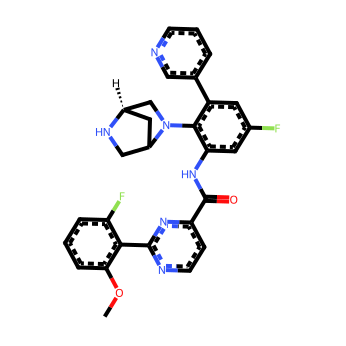 COc1cccc(F)c1-c1nccc(C(=O)Nc2cc(F)cc(-c3cccnc3)c2N2C[C@H]3CC2CN3)n1